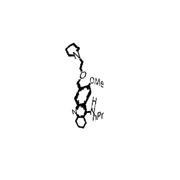 CCCNc1c2c(nc3cc(COCCN4CCCC4)c(OC)cc13)CCCC2